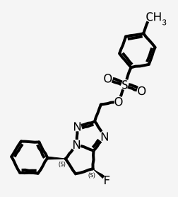 Cc1ccc(S(=O)(=O)OCc2nc3n(n2)[C@H](c2ccccc2)C[C@@H]3F)cc1